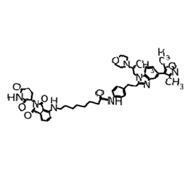 Cc1noc(C)c1-c1ccc2c(c1)nc(CCc1ccc(NC(=O)CCCCCCCNc3cccc4c3C(=O)N(C3CCC(=O)NC3=O)C4=O)cc1)n2CC(C)N1CCOCC1